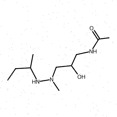 CCC(C)NN(C)CC(O)CNC(C)=O